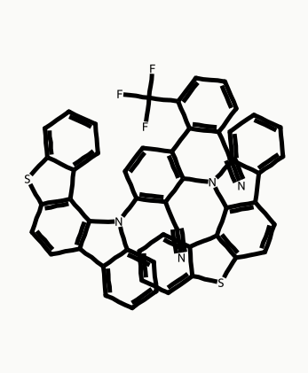 N#Cc1cccc(C(F)(F)F)c1-c1ccc(-n2c3ccccc3c3ccc4sc5ccccc5c4c32)c(C#N)c1-n1c2ccccc2c2ccc3sc4ccccc4c3c21